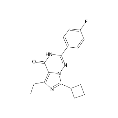 CCc1nc(C2CCC2)n2nc(-c3ccc(F)cc3)[nH]c(=O)c12